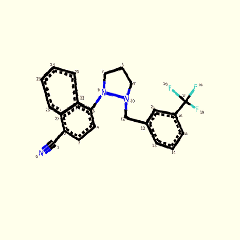 N#Cc1ccc(N2CCCN2Cc2cccc(C(F)(F)F)c2)c2ccccc12